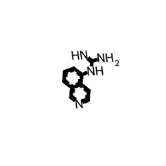 N=C(N)Nc1cccc2cnccc12